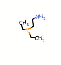 CCP(CC)CCN